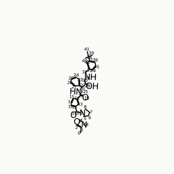 Cc1coc([C@H]2CCCN2C(=O)c2cccc(C(=O)N[C@@](C)(c3ccccc3)[C@H](O)CNCc3cccc(C(C)(C)C)c3)c2)n1